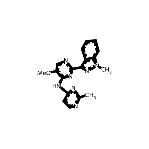 COc1cnc(-c2nn(C)c3ccccc23)nc1Nc1ccnc(C)n1